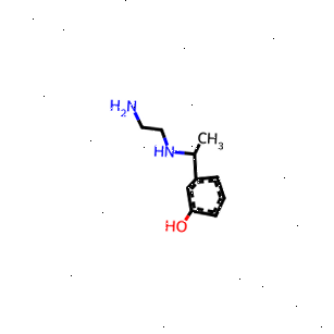 CC(NCCN)c1cccc(O)c1